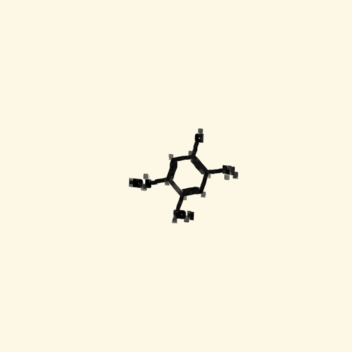 Nc1cc(S(=O)(=O)O)c(S(=O)(=O)O)cc1Cl